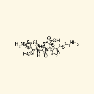 NCCSCc1ncccc1SC1(C(=O)O)CS[C@@H]2[C@H](NC(=O)C(=NO)c3nc(N)sc3Cl)C(=O)N2C1